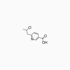 CC(Cl)Cc1ccc(C(=O)O)cn1